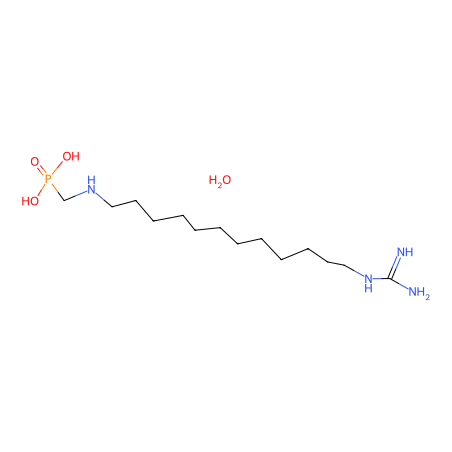 N=C(N)NCCCCCCCCCCCCNCP(=O)(O)O.O